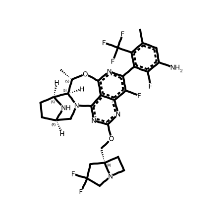 Cc1cc(N)c(F)c(-c2nc3c4c(nc(OC[C@]56CCN5CC(F)(F)C6)nc4c2F)N2C[C@H]4CC[C@H](N4)[C@H]2[C@H](C)O3)c1C(F)(F)F